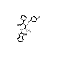 C/C(Nc1nc2ccccc2[nH]1)=C(\CCc1ccc(F)cc1)C(=N)c1ccccc1